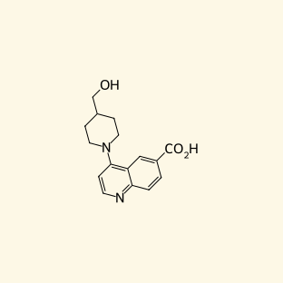 O=C(O)c1ccc2nccc(N3CCC(CO)CC3)c2c1